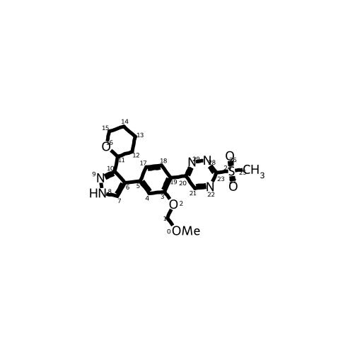 COCOc1cc(-c2c[nH]nc2C2CCCCO2)ccc1-c1cnc(S(C)(=O)=O)nn1